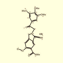 Br.CCOc1cc2c(cc1C(=O)NC)C(=N)N(CC(=O)c1cc(OC)c(OC)c(OC)c1)C2